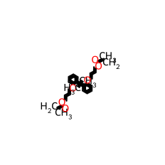 C=C(C)C(=O)OCCCCOc1ccccc1C(C)(C)c1ccccc1OCCCCOC(=O)C(=C)C